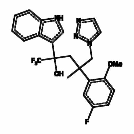 COc1ccc(F)cc1C(C)(Cn1ccnn1)CC(O)(c1c[nH]c2ccccc12)C(F)(F)F